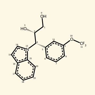 OC[C@@H](O)[C@H](c1cccc(OC(F)(F)F)c1)n1ccc2ccccc21